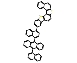 c1ccc2c(-c3c4ccccc4c(-c4ccc(-c5ccc6sc7c(ccc8sc9ccc%10ccccc%10c9c87)c6c5)c5ccccc45)c4ccccc34)cccc2c1